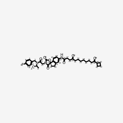 C[C@H](N(Cc1ccc(F)cc1)C(=O)CN1C(=O)O[C@@]2(CCc3cc(NC(=O)CCC(=O)CCCCCCCC(=O)C4CCC4)ccc32)C1=O)C(F)(F)F